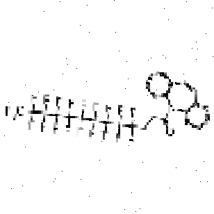 O=C(CCC(F)(F)C(F)(F)C(F)(F)C(F)(F)C(F)(F)C(F)(F)C(F)(F)C(F)(F)C(F)(F)C(F)(F)F)N1c2ccccc2C=Cc2ccccc21